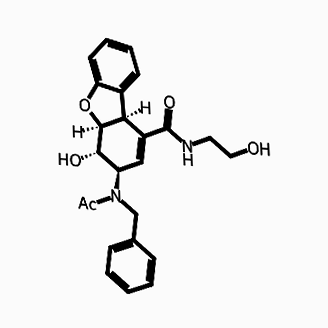 CC(=O)N(Cc1ccccc1)[C@@H]1C=C(C(=O)NCCO)[C@@H]2c3ccccc3O[C@@H]2[C@H]1O